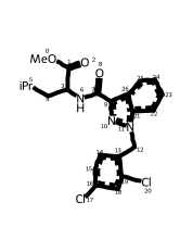 COC(=O)C(CC(C)C)NC(=O)c1nn(Cc2ccc(Cl)cc2Cl)c2ccccc12